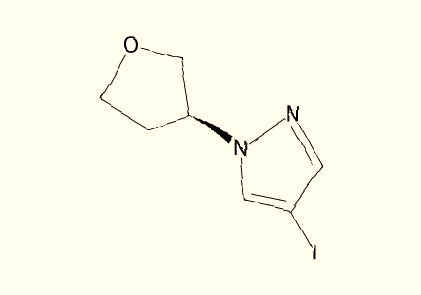 Ic1cnn([C@H]2CCOC2)c1